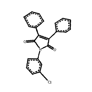 O=C1C(c2ccccc2)=C(c2ccccc2)C(=O)N1c1cccc(Cl)c1